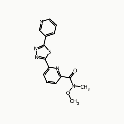 CON(C)C(=O)c1cccc(-c2nnc(-c3cccnc3)s2)n1